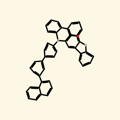 c1ccc(-c2ccccc2N(c2ccc(-c3cccc(-c4cccc5ccccc45)c3)cc2)c2ccc3oc4ccccc4c3c2)cc1